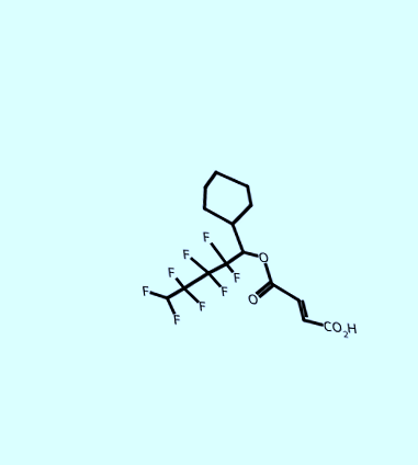 O=C(O)/C=C/C(=O)OC(C1CCCCC1)C(F)(F)C(F)(F)C(F)(F)C(F)F